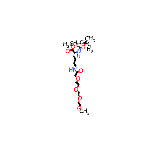 COCCOCCOCCOCC(=O)NCCCC[C@H](NC(=O)OC(C)(C)C)C(=O)OC